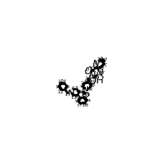 O=C([C@@H]1CCN(Cc2ccccc2)C[C@H]1c1ccccc1)N1CCC(O)(Cn2cnc3cccnc3c2=O)CC1